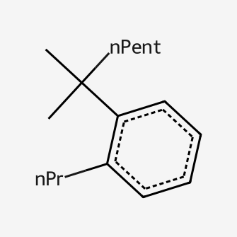 CCCCCC(C)(C)c1ccccc1CCC